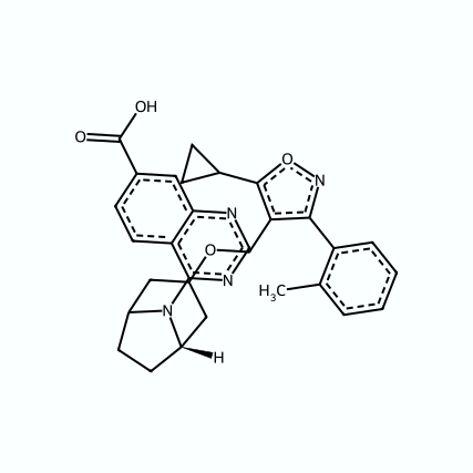 Cc1ccccc1-c1noc(C2CC2)c1COC1CC2CC[C@@H](C1)N2c1ncnc2cc(C(=O)O)ccc12